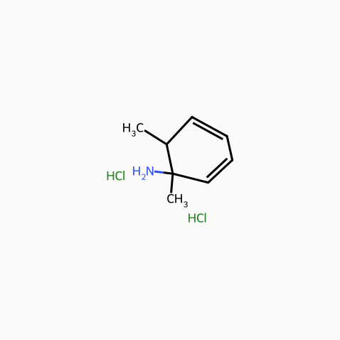 CC1C=CC=CC1(C)N.Cl.Cl